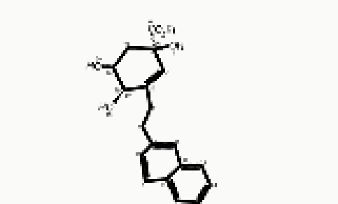 CCOC(=O)[C@]1(O)C=C(CCc2ccc3ccccc3c2)[C@@H](O)C(O)C1